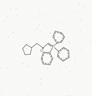 O=C(C=P(c1ccccc1)(c1ccccc1)c1ccccc1)CC1CCCC1